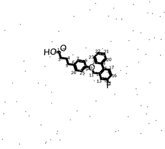 O=C(O)CCCc1ccc(OCc2cc(F)ccc2-c2ccccc2)cc1